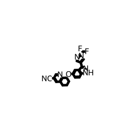 N#Cc1cnc2c(c1)CCCC2Oc1ccc2[nH]nc(-c3cnn(C(F)F)c3)c2c1